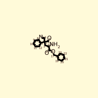 N[C@@H](CC1(C=O)C=Nc2ccccc21)C(=O)OCc1ccccc1